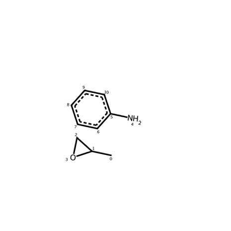 CC1CO1.Nc1ccccc1